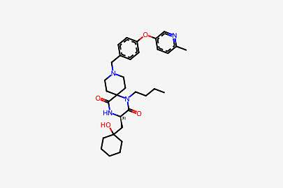 CCCCN1C(=O)[C@@H](CC2(O)CCCCC2)NC(=O)C12CCN(Cc1ccc(Oc3ccc(C)nc3)cc1)CC2